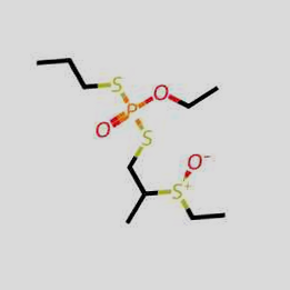 CCCSP(=O)(OCC)SCC(C)[S@@+]([O-])CC